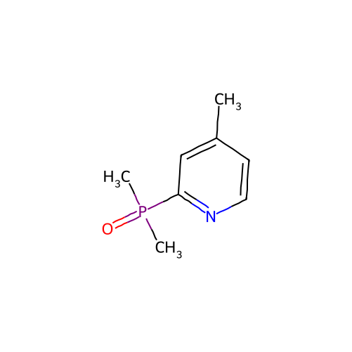 Cc1ccnc(P(C)(C)=O)c1